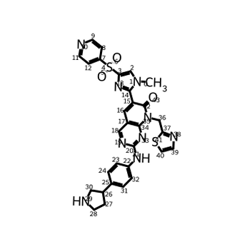 Cn1cc(S(=O)(=O)c2ccncc2)nc1-c1cc2cnc(Nc3ccc(C4CCNC4)cc3)nc2n(Cc2nccs2)c1=O